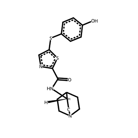 O=C(N[C@H]1CN2CCC1CC2)c1ncc(Sc2ccc(O)cc2)s1